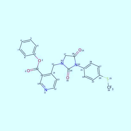 O=C(Oc1ccccc1)c1cnccc1CN1CC(=O)N(c2ccc(SC(F)(F)F)cc2)C1=O